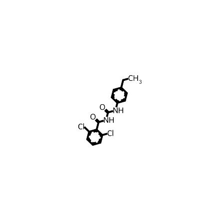 CCc1ccc(NC(=O)NC(=O)c2c(Cl)cccc2Cl)cc1